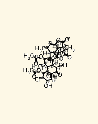 CC(=O)O[C@@H]1[C@H]2[C@H]3[C@H]([C@H](C)[C@H](OC(C)=O)[C@]2(C)[C@@H]2[C@@H]1[C@]1(C)C(=C[C@H]2C)OC(=O)[C@@]1(C)O)[C@]1(C)[C@H](C[C@@H](O)[C@H](Cl)[C@@H]1OC(C)=O)C(=O)[C@@H]3O